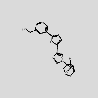 OCc1cccc(-c2ccc(-c3cn([C@H]4CN5CCC4CC5)nn3)o2)c1